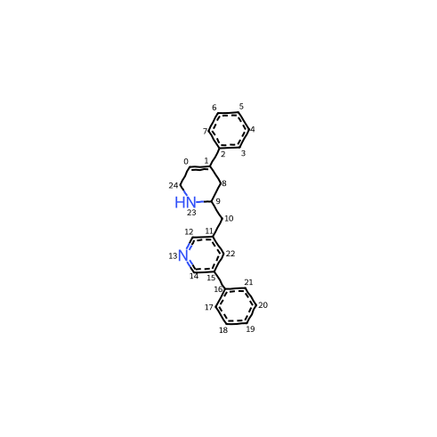 C1=C(c2ccccc2)CC(Cc2cncc(-c3ccccc3)c2)NC1